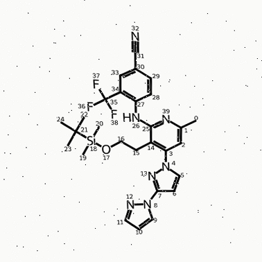 Cc1cc(-n2ccc(-n3cccn3)n2)c(CCO[Si](C)(C)C(C)(C)C)c(Nc2ccc(C#N)cc2C(F)(F)F)n1